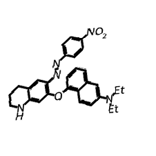 CCN(CC)c1ccc2c(Oc3cc4c(cc3/N=N/c3ccc([N+](=O)[O-])cc3)CCCN4)cccc2c1